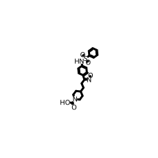 O=C(O)N1CCC(CCc2noc3cc(NS(=O)(=O)c4ccccc4)ccc23)CC1